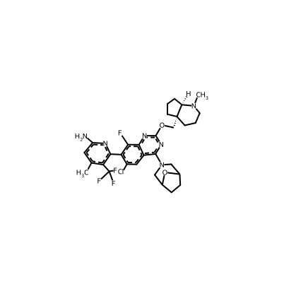 Cc1cc(N)nc(-c2c(Cl)cc3c(N4CC5CCC(C4)O5)nc(OC[C@]45CCC[C@H]4N(C)CCC5)nc3c2F)c1C(F)(F)F